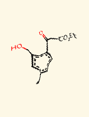 CCOC(=O)C(=O)c1ccc(C)cc1O